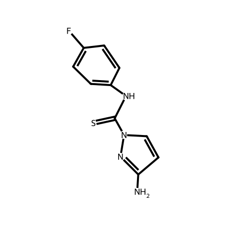 Nc1ccn(C(=S)Nc2ccc(F)cc2)n1